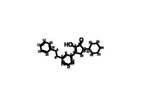 O=C1C(O)=C(c2cc(CCc3ccccc3)ncn2)CN1C1CCCCC1